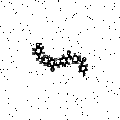 O=C(c1ccc(F)cc1)C1CCN(C(=O)c2ccc(CN3CCC4(CCN(Cc5ccc(C(F)(F)F)cc5)CC4)OC3=O)nc2)CC1